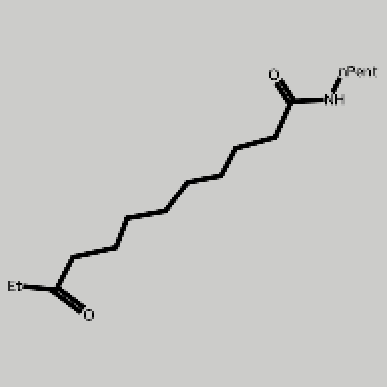 CCCCCNC(=O)CCCCCCCCC(=O)CC